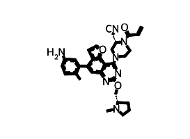 C=CC(=O)N1CCN(c2nc(OC[C@@H]3CCCN3C)nc3cc(-c4cc(N)ccc4C)c4ccoc4c23)C[C@@H]1CC#N